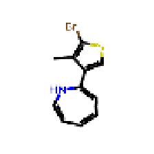 Cc1c(C2=CC=CC=CN2)csc1Br